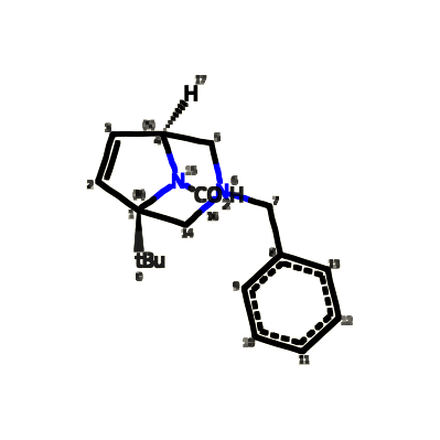 CC(C)(C)[C@]12C=C[C@@H](CN(Cc3ccccc3)C1)N2C(=O)O